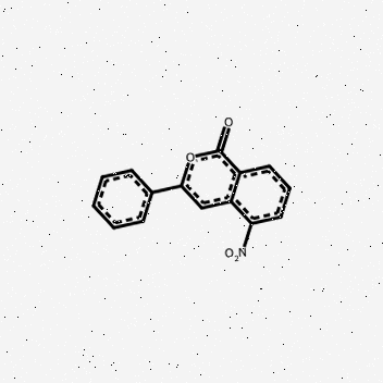 O=c1oc(-c2ccccc2)cc2c([N+](=O)[O-])cccc12